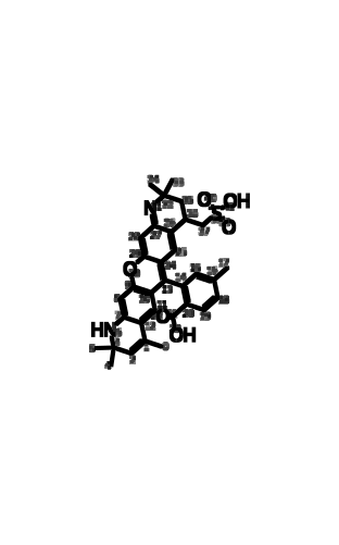 CC1=CC(C)(C)Nc2cc3c(cc21)C(c1cc(C)ccc1C(=O)O)=c1cc2c(cc1O3)=NC(C)(C)CC2CS(=O)(=O)O